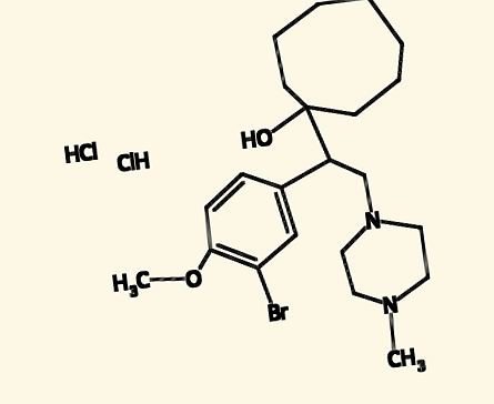 COc1ccc(C(CN2CCN(C)CC2)C2(O)CCCCCCC2)cc1Br.Cl.Cl